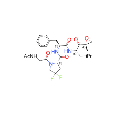 CC(=O)NCC(=O)N1CC(F)(F)C[C@H]1C(=O)N[C@@H](Cc1ccccc1)C(=O)N[C@@H](CC(C)C)C(=O)[C@@]1(C)CO1